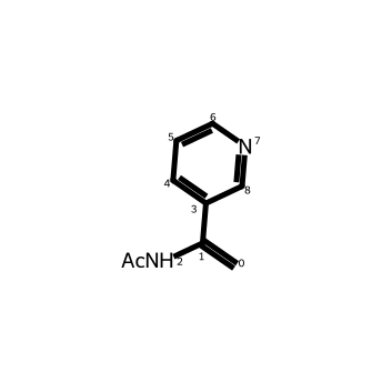 C=C(NC(C)=O)c1cccnc1